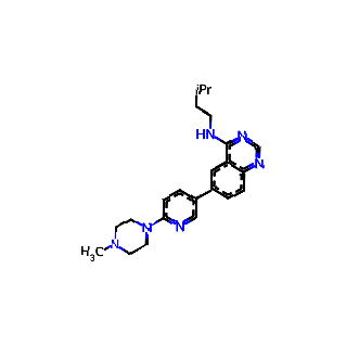 CC(C)CCNc1ncnc2ccc(-c3ccc(N4CCN(C)CC4)nc3)cc12